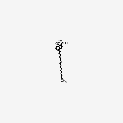 CCCCCCCCCCC=CCCCCCCc1cccc2c(I(=O)=O)c(C(=O)O)ccc12